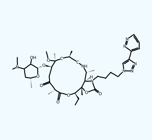 CC[C@H]1OC(=O)[C@H](C)C(=O)C[C@@H](O[C@@H]2O[C@H](C)CC(N(C)C)C2O)[C@@](C)(OC)C[C@@H](C)CN[C@H](C)[C@H]2N(CCCCn3cc(-c4cccnn4)nn3)C(=O)O[C@]12C